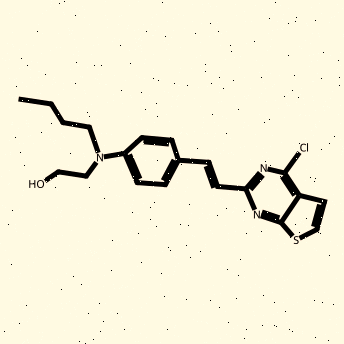 CCCCN(CCO)c1ccc(/C=C/c2nc(Cl)c3ccsc3n2)cc1